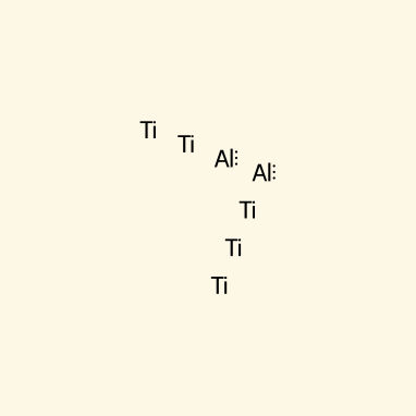 [Al].[Al].[Ti].[Ti].[Ti].[Ti].[Ti]